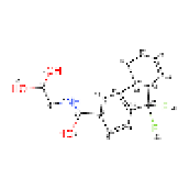 OC(O)CNC(O)c1ccc2c(c1)C1=C(C=CCC1)C2(F)F